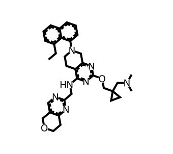 CCc1cccc2cccc(N3CCc4c(nc(OCC5(CN(C)C)CC5)nc4NCc4ncc5c(n4)CCOC5)C3)c12